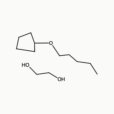 CCCCCOC1CCCC1.OCCO